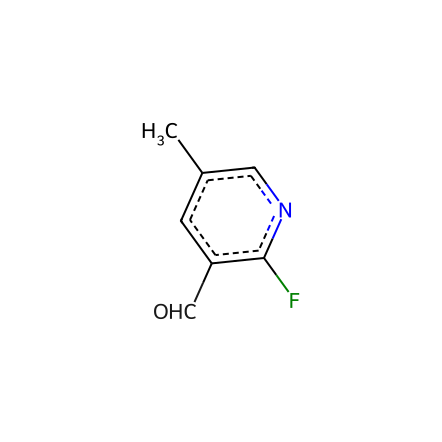 Cc1cnc(F)c(C=O)c1